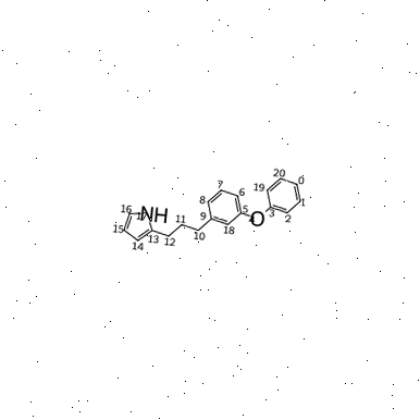 c1ccc(Oc2cccc(CCCc3ccc[nH]3)c2)cc1